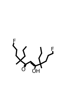 CCCC(C)(CCCF)C(=O)/C=C(\O)C(C)(CCC)CCCF